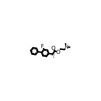 C[C@@H](C(=O)OCCN(C)C)c1ccc(-c2ccccc2)c(F)c1